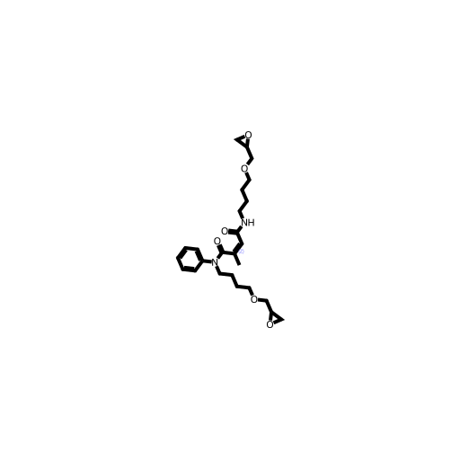 C/C(=C/C(=O)NCCCCOCC1CO1)C(=O)N(CCCCOCC1CO1)c1ccccc1